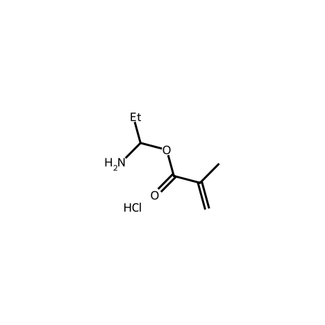 C=C(C)C(=O)OC(N)CC.Cl